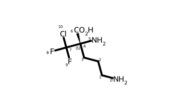 NCCC[C@](N)(C(=O)O)C(F)(F)Cl